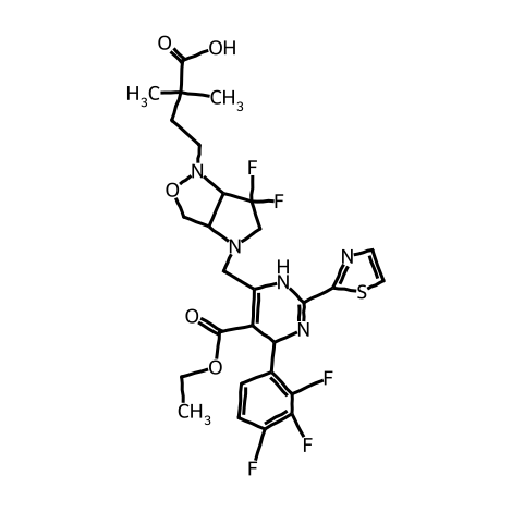 CCOC(=O)C1=C(CN2CC(F)(F)C3C2CON3CCC(C)(C)C(=O)O)NC(c2nccs2)=NC1c1ccc(F)c(F)c1F